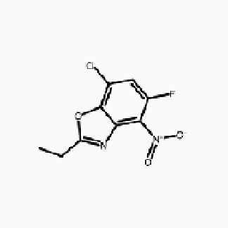 CCc1nc2c([N+](=O)[O-])c(F)cc(Cl)c2o1